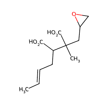 CC=CCC(C(=O)O)C(C)(CC1CO1)C(=O)O